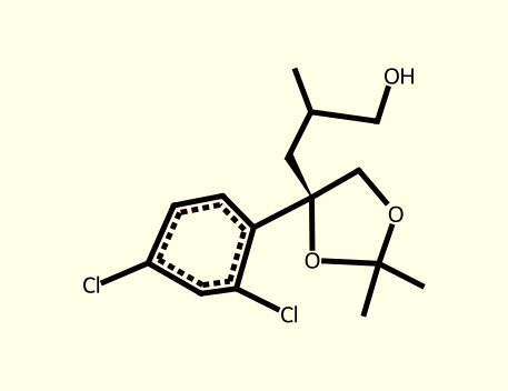 CC(CO)C[C@@]1(c2ccc(Cl)cc2Cl)COC(C)(C)O1